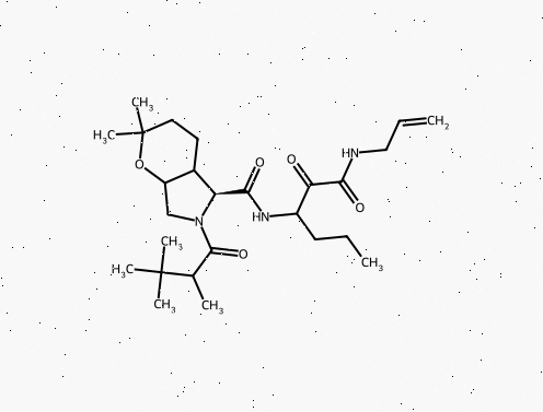 C=CCNC(=O)C(=O)C(CCC)NC(=O)[C@@H]1C2CCC(C)(C)OC2CN1C(=O)C(C)C(C)(C)C